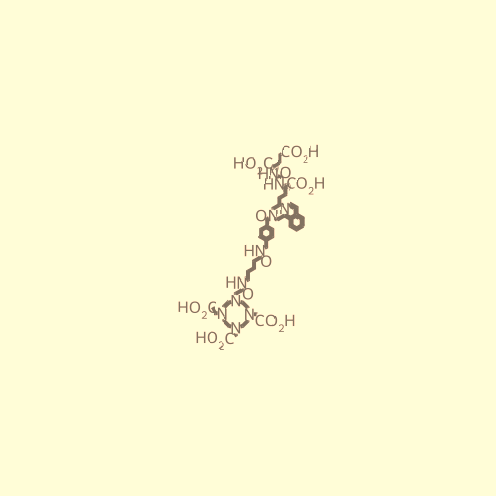 O=C(O)CC[C@@H](NC(=O)N[C@H](CCCCN(Cc1nccc2ccccc12)C(=O)c1ccc(CNC(=O)CCCCNC(=O)CN2CCN(CC(=O)O)CCN(CC(=O)O)CCN(CC(=O)O)CC2)cc1)C(=O)O)C(=O)O